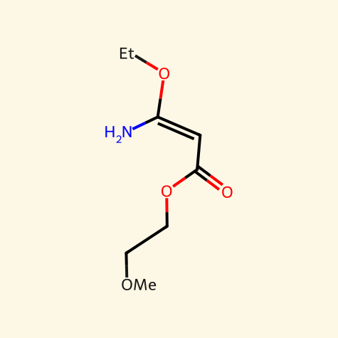 CCOC(N)=CC(=O)OCCOC